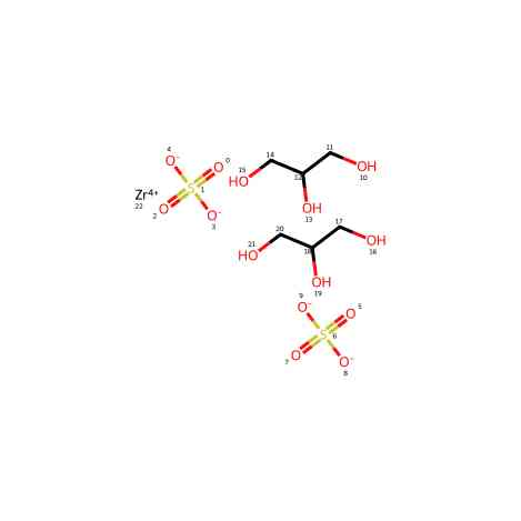 O=S(=O)([O-])[O-].O=S(=O)([O-])[O-].OCC(O)CO.OCC(O)CO.[Zr+4]